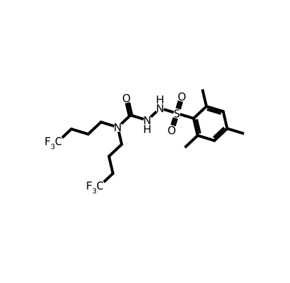 Cc1cc(C)c(S(=O)(=O)NNC(=O)N(CCCC(F)(F)F)CCCC(F)(F)F)c(C)c1